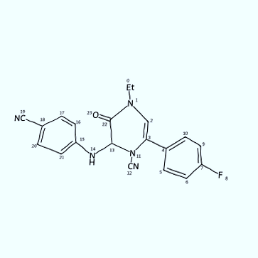 CCN1C=C(c2ccc(F)cc2)N(C#N)C(Nc2ccc(C#N)cc2)C1=O